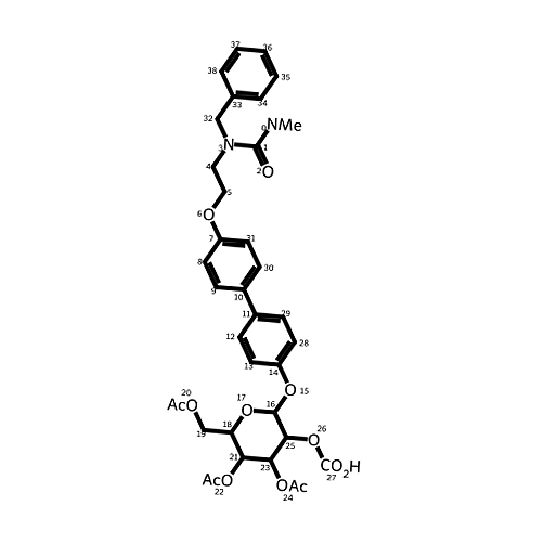 CNC(=O)N(CCOc1ccc(-c2ccc(OC3OC(COC(C)=O)C(OC(C)=O)C(OC(C)=O)C3OC(=O)O)cc2)cc1)Cc1ccccc1